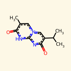 Cc1cn2cc(C(C)C)c(=O)nc2[nH]c1=O